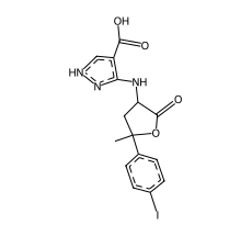 CC1(c2ccc(I)cc2)CC(Nc2n[nH]cc2C(=O)O)C(=O)O1